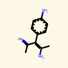 CC(=N)/C(=C(/C)N)c1ccc(N)cc1